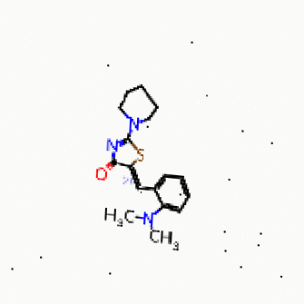 CN(C)c1ccccc1/C=C1\SC(N2CCCCC2)=NC1=O